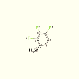 Fc1cc[c]([SnH3])c(F)c1F